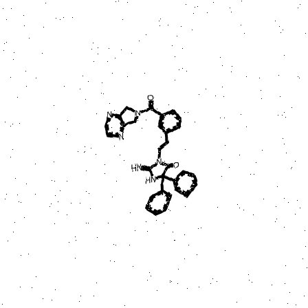 N=C1NC(c2ccccc2)(c2ccccc2)C(=O)N1CCc1cccc(C(=O)N2Cc3nccnc3C2)c1